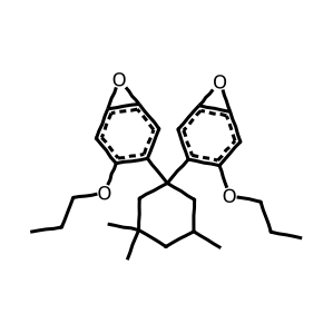 CCCOc1cc2c(cc1C1(c3cc4c(cc3OCCC)O4)CC(C)CC(C)(C)C1)O2